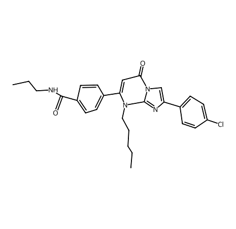 CCCCCn1c(-c2ccc(C(=O)NCCC)cc2)cc(=O)n2cc(-c3ccc(Cl)cc3)nc12